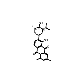 Cc1cc(C)c2c(c1)C(=O)c1c(ccc([C@H]3C[C@@H](N(C)C)[C@H](O)[C@@H](C)O3)c1O)C2=O